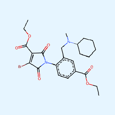 CCOC(=O)C1=C(Br)C(=O)N(c2ccc(C(=O)OCC)cc2CN(C)C2CCCCC2)C1=O